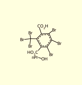 CCCO.O=C(O)c1c(Br)c(Br)c(Br)c(C(=O)O)c1C(Br)(Br)Br